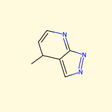 CC1C=CN=C2N=NC=C21